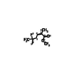 CC(=CCC(F)(F)C(F)(F)F)C(=O)OC(F)(F)F